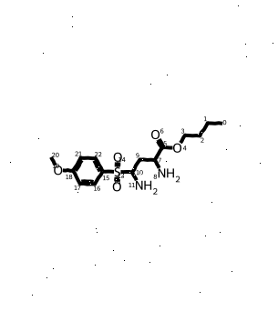 CCCCOC(=O)C(N)CC(N)S(=O)(=O)c1ccc(OC)cc1